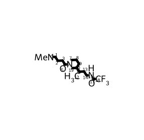 CNCCCC(=O)N1CCCC([C@H](C)CCNC(=O)C(F)(F)F)C1